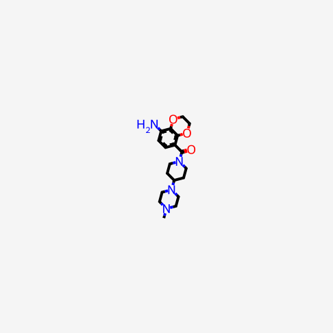 CN1CCN(C2CCN(C(=O)c3ccc(N)c4c3OCCO4)CC2)CC1